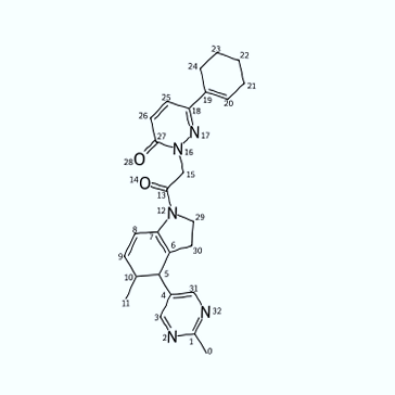 Cc1ncc(C2C3=C(C=CC2C)N(C(=O)Cn2nc(C4=CCCCC4)ccc2=O)CC3)cn1